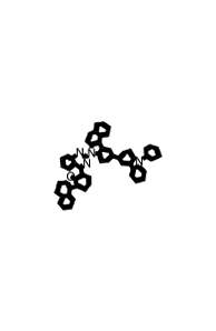 c1ccc(-n2c3ccccc3c3cc(-c4ccc5c(c4)c4c6ccccc6ccc4n5-c4nc(-c5cccc6c5oc5ccc7ccccc7c56)c5ccccc5n4)ccc32)cc1